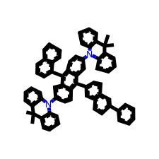 CC1(C)c2ccccc2N(c2ccc3c(-c4cccc5ccccc45)c4cc(N5c6ccccc6C(C)(C)c6ccccc65)ccc4c(-c4ccc5cc(-c6ccccc6)ccc5c4)c3c2)c2ccccc21